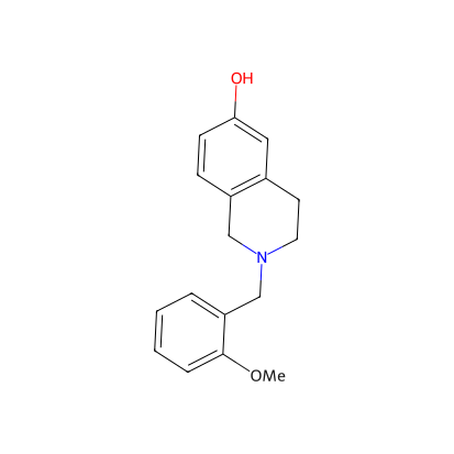 COc1ccccc1CN1CCc2cc(O)ccc2C1